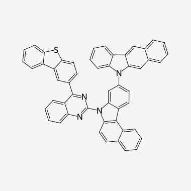 c1ccc2cc3c(cc2c1)c1ccccc1n3-c1ccc2c3c4ccccc4ccc3n(-c3nc(-c4ccc5sc6ccccc6c5c4)c4ccccc4n3)c2c1